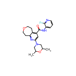 CC1CN(c2cc(C(=O)Nc3cccnc3F)c3c(n2)CCOCC3)CC(C)O1